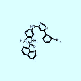 Cc1ccc(Nc2cc(-c3cccc(N)c3)ncn2)cc1NS(=O)(=O)c1cccc2cccnc12